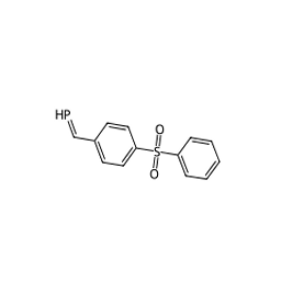 O=S(=O)(c1ccccc1)c1ccc(C=P)cc1